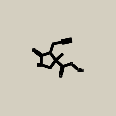 C#CCN1C(=O)NCC1(C)C(=O)OC(C)(C)C